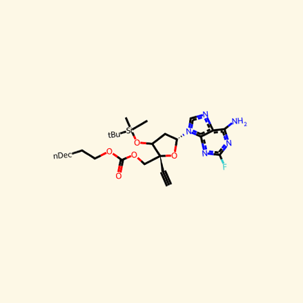 C#C[C@]1(COC(=O)OCCCCCCCCCCCC)O[C@@H](n2cnc3c(N)nc(F)nc32)CC1O[Si](C)(C)C(C)(C)C